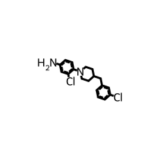 Nc1ccc(N2CCC(Cc3cccc(Cl)c3)CC2)c(Cl)c1